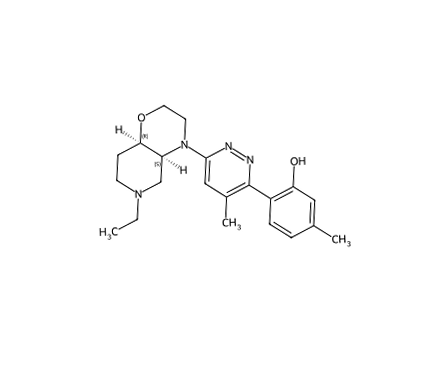 CCN1CC[C@H]2OCCN(c3cc(C)c(-c4ccc(C)cc4O)nn3)[C@H]2C1